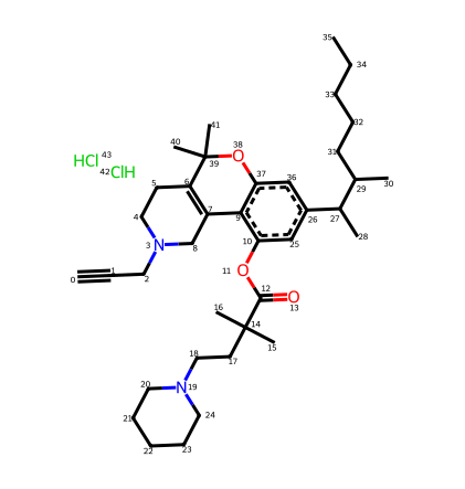 C#CCN1CCC2=C(C1)c1c(OC(=O)C(C)(C)CCN3CCCCC3)cc(C(C)C(C)CCCCC)cc1OC2(C)C.Cl.Cl